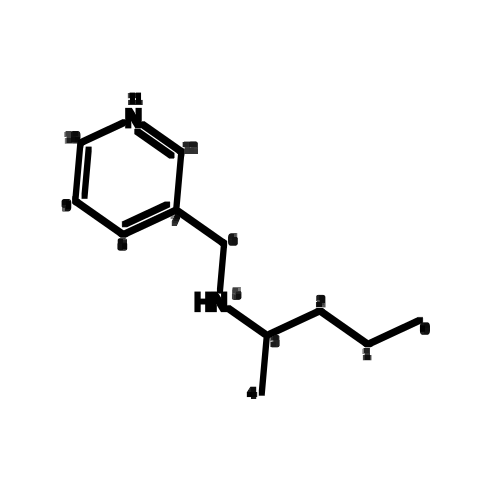 CCCC(C)NCc1cccnc1